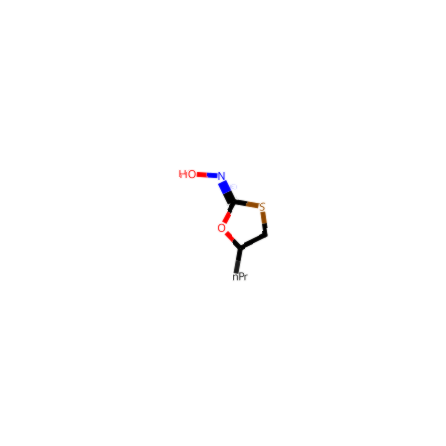 CCCC1CS/C(=N/O)O1